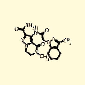 CN1CCn2nc(C(N)=O)c(NC(=O)Cn3nc(C(F)(F)F)c4c3CCCC4)c2C1=O